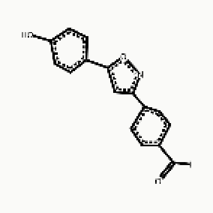 O=C(I)c1ccc(-c2cc(-c3ccc(O)cc3)on2)cc1